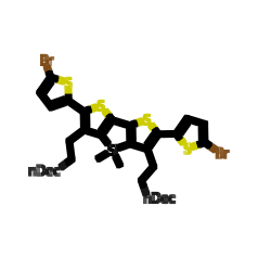 CCCCCCCCCCCCc1c(-c2ccc(Br)s2)sc2c1[Si](C)(C)c1c-2sc(-c2ccc(Br)s2)c1CCCCCCCCCCCC